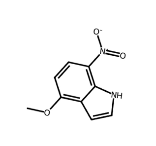 COc1ccc([N+](=O)[O-])c2[nH]ccc12